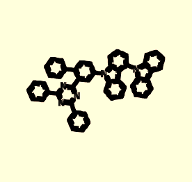 c1ccc(-c2nc(-c3ccccc3)nc(-c3cc(-n4c5ccccc5c5c(-n6c7ccccc7c7ccccc76)cccc54)ccc3-c3ccccc3)n2)cc1